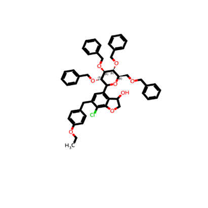 CCOc1ccc(Cc2cc(C3O[C@H](COCc4ccccc4)[C@@H](OCc4ccccc4)[C@H](OCc4ccccc4)[C@H]3OCc3ccccc3)c3c(c2Cl)OCC3O)cc1